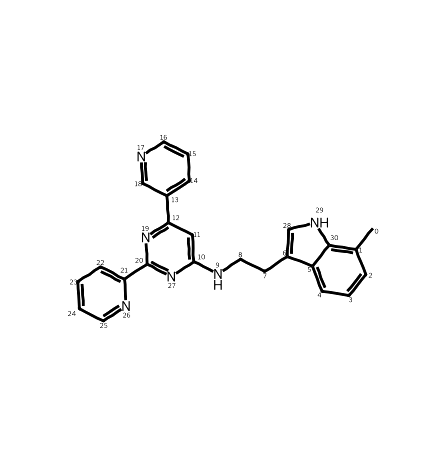 Cc1cccc2c(CCNc3cc(-c4cccnc4)nc(-c4ccccn4)n3)c[nH]c12